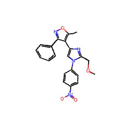 COCc1nc(-c2c(-c3ccccc3)noc2C)cn1-c1ccc([N+](=O)[O-])cc1